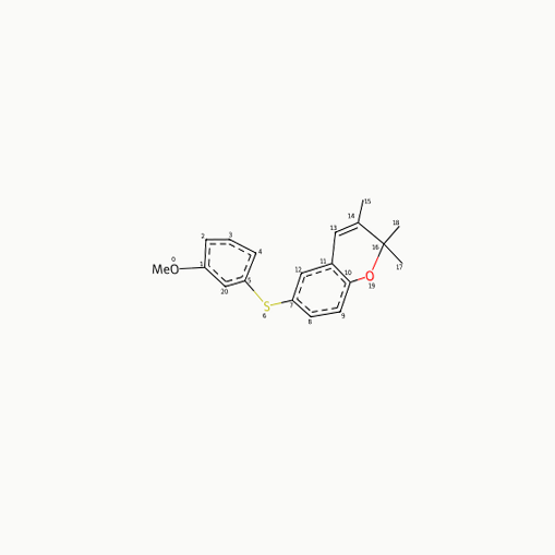 COc1cccc(Sc2ccc3c(c2)C=C(C)C(C)(C)O3)c1